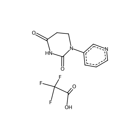 O=C(O)C(F)(F)F.O=C1CCN(c2cccnc2)C(=O)N1